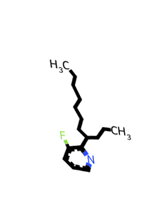 CCCCCCCC(CCC)c1ncccc1F